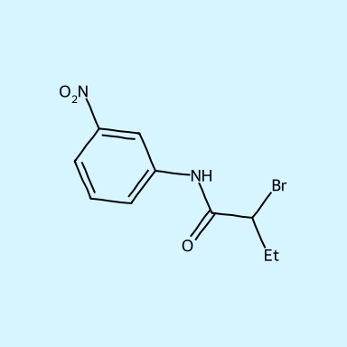 CCC(Br)C(=O)Nc1cccc([N+](=O)[O-])c1